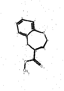 COC(=O)C1CCOc2ccccc2C1